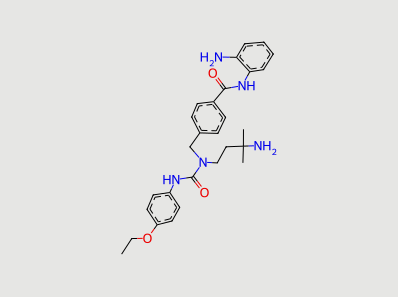 CCOc1ccc(NC(=O)N(CCC(C)(C)N)Cc2ccc(C(=O)Nc3ccccc3N)cc2)cc1